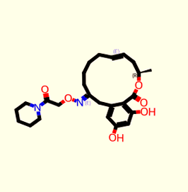 C[C@@H]1C/C=C/CCCC/C(=N\OCC(=O)N2CCCCC2)Cc2cc(O)cc(O)c2C(=O)O1